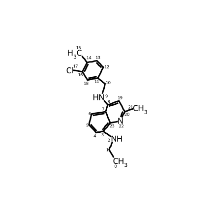 CCNc1cccc2c(NCc3ccc(C)c(Cl)c3)cc(C)nc12